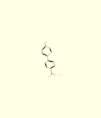 CC(O)c1ccc(-c2ccc(O)cc2)cc1